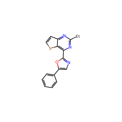 CCc1nc(-c2ncc(-c3ccccc3)o2)c2sccc2n1